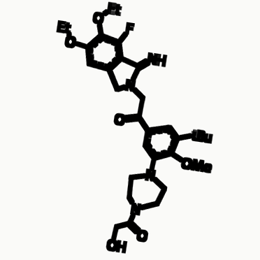 CCOc1cc2c(c(F)c1OCC)C(=N)N(CC(=O)c1cc(N3CCN(C(=O)CO)CC3)c(OC)c(C(C)(C)C)c1)C2